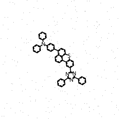 c1ccc(-c2nc(-c3ccccc3)nc(-c3ccc4c(c3)-c3cccc5c(-c6ccc(N(c7ccccc7)c7ccccc7)cc6)ccc(c35)S4)n2)cc1